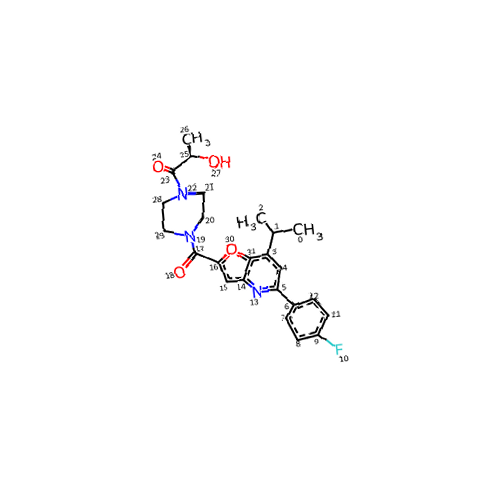 CC(C)c1cc(-c2ccc(F)cc2)nc2cc(C(=O)N3CCN(C(=O)[C@@H](C)O)CC3)oc12